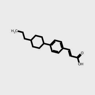 CCCC1CCC(c2ccc(C=CC(=O)O)cc2)CC1